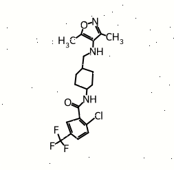 Cc1noc(C)c1NCC1CCC(NC(=O)c2cc(C(F)(F)F)ccc2Cl)CC1